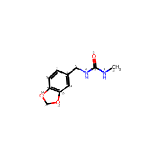 CNC(=O)NCc1ccc2c(c1)OCO2